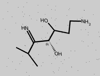 CC(C)C(=N)[C@@H](O)C(O)CCN